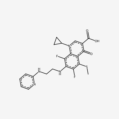 CSc1c(F)c(NCCNc2ccccn2)c(F)c2c1c(=O)c(C(=O)O)cn2C1CC1